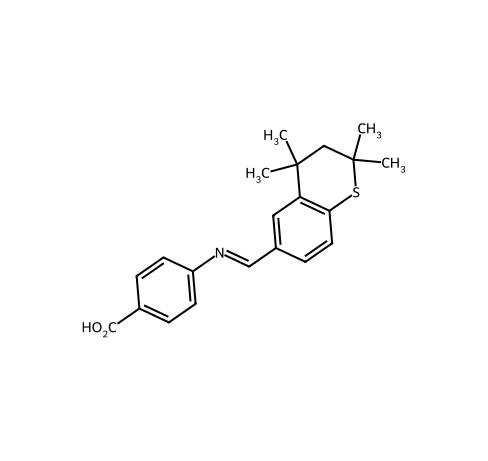 CC1(C)CC(C)(C)c2cc(C=Nc3ccc(C(=O)O)cc3)ccc2S1